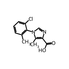 Cc1cccc(Cl)c1-n1cnc(C(=O)O)c1C